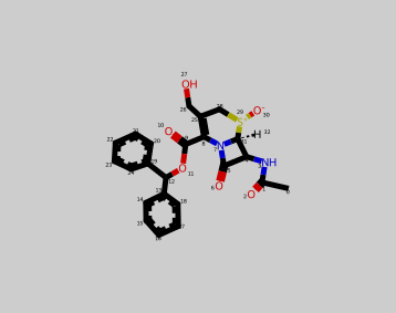 CC(=O)NC1C(=O)N2C(C(=O)OC(c3ccccc3)c3ccccc3)=C(CO)C[S+]([O-])[C@@H]12